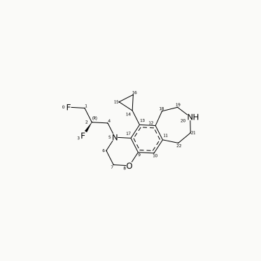 FC[C@H](F)CN1CCOc2cc3c(c(C4CC4)c21)CCNCC3